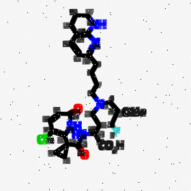 CO[C@H](CF)CN(CCCCc1ccc2c(n1)NCCC2)CC[C@H](NC(=O)C1(c2[nH]c(=O)ccc2Cl)CC1)C(=O)O